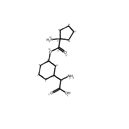 NC(C(=O)O)C1CCCC(OC(=O)C2(N)CCCC2)C1